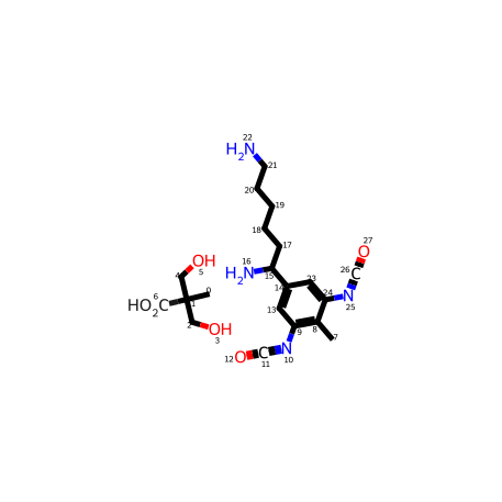 CC(CO)(CO)C(=O)O.Cc1c(N=C=O)cc(C(N)CCCCCN)cc1N=C=O